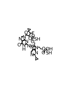 Nc1nc2c(ncn2[C@@H]2OC3(CC3)[C@@H](F)[C@H]2OP(=O)(S)OCc2nc3cnc(C4CC4)nc3n2CCOP(=O)(O)S)c(=O)[nH]1